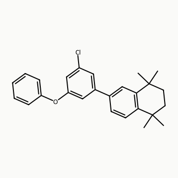 CC1(C)CCC(C)(C)c2cc(-c3cc(Cl)cc(Oc4ccccc4)c3)ccc21